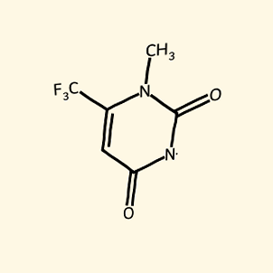 CN1C(=O)[N]C(=O)C=C1C(F)(F)F